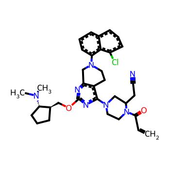 C=CC(=O)N1CCN(c2nc(OC[C@H]3CCC[C@@H]3N(C)C)nc3c2CCN(c2cccc4cccc(Cl)c24)C3)CC1CC#N